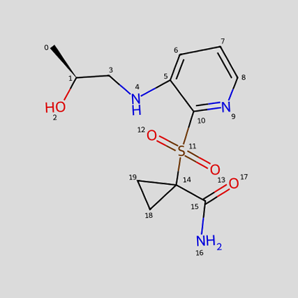 C[C@H](O)CNc1cccnc1S(=O)(=O)C1(C(N)=O)CC1